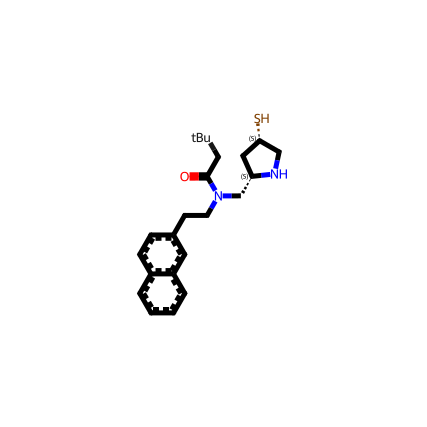 CC(C)(C)CC(=O)N(CCc1ccc2ccccc2c1)C[C@@H]1C[C@H](S)CN1